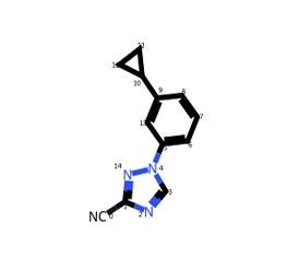 N#Cc1ncn(-c2cccc(C3CC3)c2)n1